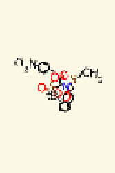 C=CCSC1CC(=O)N1C(C(=O)OCc1ccc([N+](=O)[O-])cc1)=C(Oc1cccc2ccccc12)SC(=O)C(C)(C)C